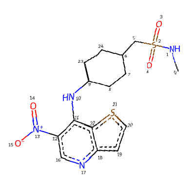 CNS(=O)(=O)CC1CCC(Nc2c([N+](=O)[O-])cnc3ccsc23)CC1